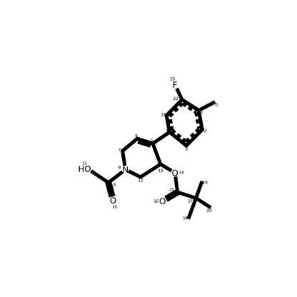 Cc1ccc(C2=CCN(C(=O)O)CC2OC(=O)C(C)(C)C)cc1F